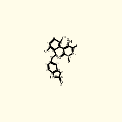 Cc1nn(C)c(=O)c(-c2c(F)ccc(Cl)c2CCc2ccc3c(c2)CC(=O)N3)c1O